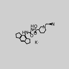 N#CCN1CCCC(S(=O)(=O)NC(=O)Nc2c3c(cc4c2CCC4)CCC3)C1.[K]